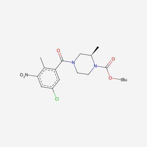 Cc1c(C(=O)N2CCN(C(=O)OC(C)(C)C)[C@H](C)C2)cc(Cl)cc1[N+](=O)[O-]